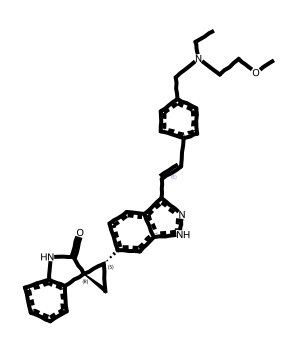 CCN(CCOC)Cc1ccc(/C=C/c2n[nH]c3cc([C@@H]4C[C@@]45C(=O)Nc4ccccc45)ccc23)cc1